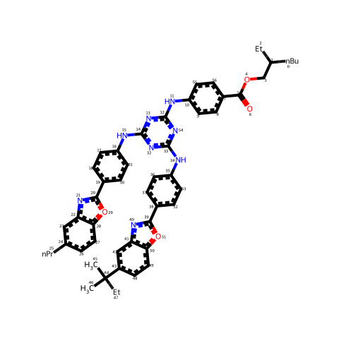 CCCCC(CC)COC(=O)c1ccc(Nc2nc(Nc3ccc(-c4nc5cc(CCC)ccc5o4)cc3)nc(Nc3ccc(-c4nc5cc(C(C)(C)CC)ccc5o4)cc3)n2)cc1